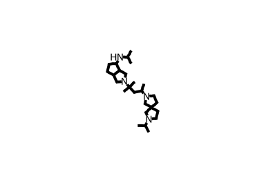 CC(C)NC1CCC2CN(C(C)(C)CC(C)N3CCC4(CCN(C(C)C)C4)C3)CC21